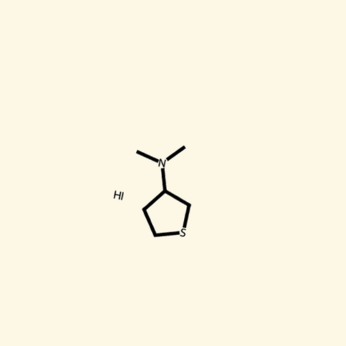 CN(C)C1CCSC1.I